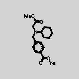 COC(=O)CN(Cc1ccc(C(=O)OC(C)(C)C)cc1)C1CCCCC1